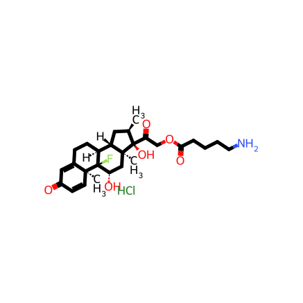 C[C@@H]1C[C@H]2[C@@H]3CCC4=CC(=O)C=C[C@]4(C)[C@@]3(F)[C@@H](O)C[C@]2(C)[C@@]1(O)C(=O)COC(=O)CCCCN.Cl